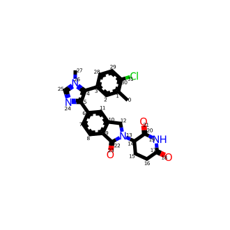 Cc1cc(-c2c(-c3ccc4c(c3)CN(C3CCC(=O)NC3=O)C4=O)ncn2C)ccc1Cl